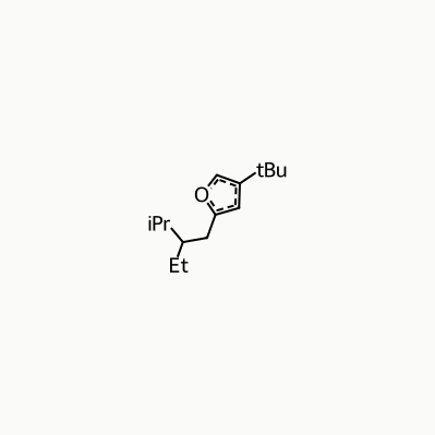 CCC(Cc1cc(C(C)(C)C)co1)C(C)C